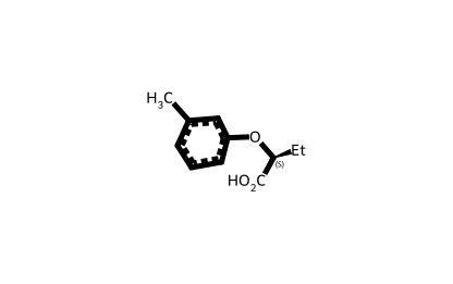 CC[C@H](Oc1cccc(C)c1)C(=O)O